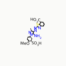 COC1=CC=C(n2nc(C)c(/N=N/c3nc4cccc(C(=O)O)c4s3)c2N)CC1S(=O)(=O)O